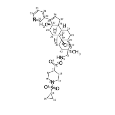 CC1(CNOC(=O)C2CCN(S(=O)(=O)C3CC3)CC2)C=C2CC[C@H]3[C@H](CC[C@]4(C)C(c5cccnc5)=CC[C@@H]34)[C@@]2(C)CC1